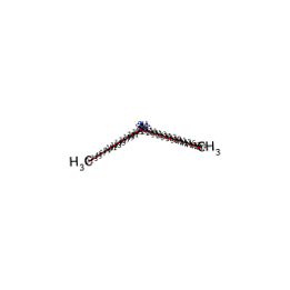 CCCCCCCCCCCCCCCCCCCCCCC=CC1=C(C=CCCCCCCCCCCCCCCCCCCCCCC)[N]C=C1